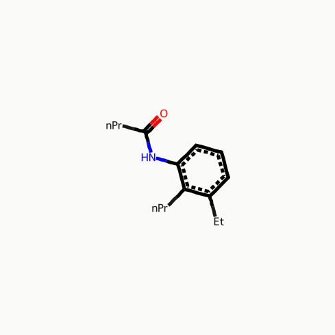 CCCC(=O)Nc1cccc(CC)c1CCC